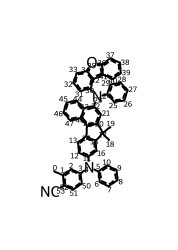 Cc1cc(N(c2ccccc2)c2ccc3c(c2)C(C)(C)c2cc(N(c4ccccc4)c4cccc5oc6ccccc6c45)c4ccccc4c2-3)ccc1C#N